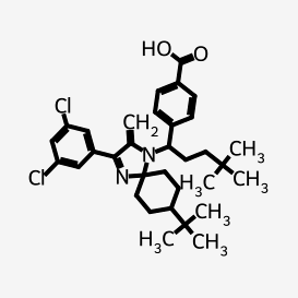 C=C1C(c2cc(Cl)cc(Cl)c2)=NC2(CCC(C(C)(C)C)CC2)N1C(CCC(C)(C)C)c1ccc(C(=O)O)cc1